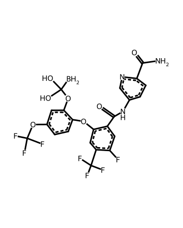 BC(O)(O)Oc1cc(OC(F)(F)F)ccc1Oc1cc(C(F)(F)F)c(F)cc1C(=O)Nc1ccc(C(N)=O)nc1